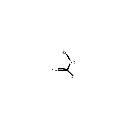 CC(=O)[N+]S